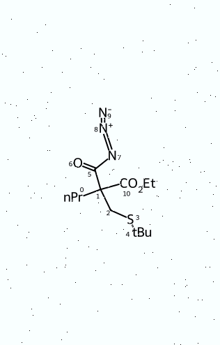 CCCC(CSC(C)(C)C)(C(=O)N=[N+]=[N-])C(=O)OCC